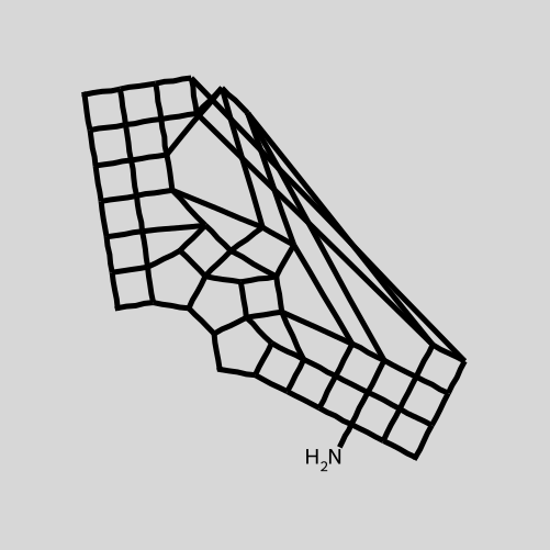 NC12C3CC4C5C6C7C8C9CC%10C%11C%12C%13C%14CC%15C%16C%17CC%18C%19C1C1%20C%19%21C%18C%17%18C%17C%16%19C%16C%15%14C%13%14C%12%13C%11%12C%109C89C78C67C56C43C21C61C%202C%18%21C%173C%194C%16%14C%135C%129C86C71C32C456